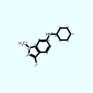 Cn1nc(I)c2ccc(NC3CCCCC3)cc21